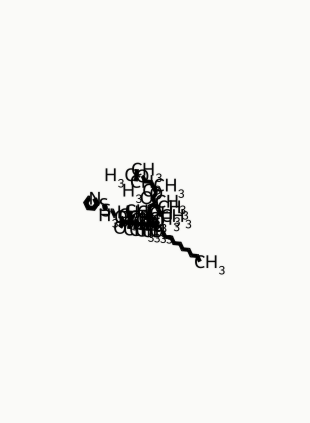 CCCCCCCCCCOC(=O)C(C)(C(C)(C)C(C)(C)CC(C)(C(=O)OC(C)(C)CCOC(C)(C)C)C(C)(C)CC)C(C)(C)C(C)(C)C(C)(C(=O)OCCSSc1ccccn1)C(C)(C)C